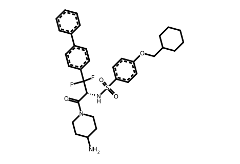 NC1CCN(C(=O)[C@@H](NS(=O)(=O)c2ccc(OCC3CCCCC3)cc2)C(F)(F)c2ccc(-c3ccccc3)cc2)CC1